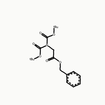 CC(C)(C)OC(=O)N(CC(=O)OCc1ccccc1)C(=O)OC(C)(C)C